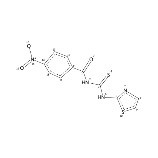 O=C(NC(=S)Nc1nccs1)c1ccc([N+](=O)[O-])cc1